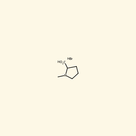 Br.CN1CCCC1C(=O)O